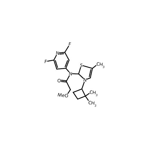 COCC(=O)N(c1cc(F)nc(F)c1)C1SC(C)=CN1C1CCC1(C)C